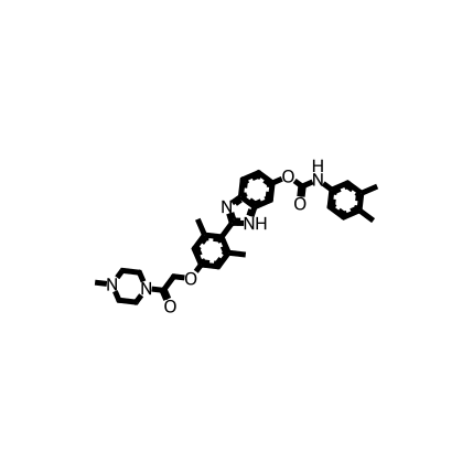 Cc1ccc(NC(=O)Oc2ccc3nc(-c4c(C)cc(OCC(=O)N5CCN(C)CC5)cc4C)[nH]c3c2)cc1C